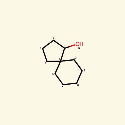 OC1CCCC12CCCCC2